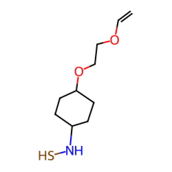 C=COCCOC1CCC(NS)CC1